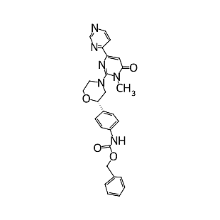 Cn1c(N2CCO[C@@H](c3ccc(NC(=O)OCc4ccccc4)cc3)C2)nc(-c2ccncn2)cc1=O